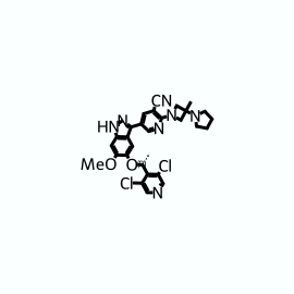 COc1cc2[nH]nc(-c3cnc(N4CC(C)(N5CCCC5)C4)c(C#N)c3)c2cc1O[C@H](C)c1c(Cl)cncc1Cl